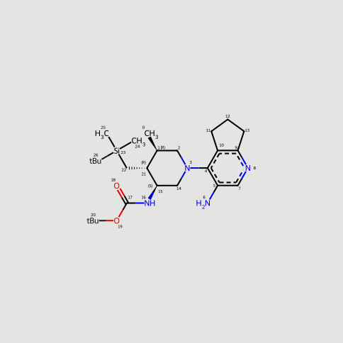 C[C@H]1CN(c2c(N)cnc3c2CCC3)C[C@@H](NC(=O)OC(C)(C)C)[C@@H]1C[Si](C)(C)C(C)(C)C